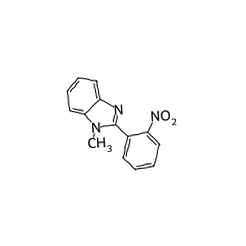 Cn1c(-c2ccccc2[N+](=O)[O-])nc2ccccc21